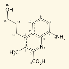 Cc1c(C(=O)O)nc2c(N)cccc2c1CCCO